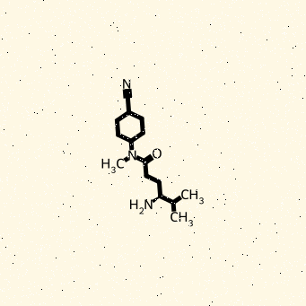 CC(C)[C@@H](N)CCC(=O)N(C)C1CCC(C#N)CC1